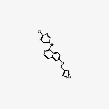 Clc1ncc(Nc2nccc3cc(OCc4cn[nH]c4)ccc23)cn1